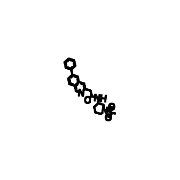 CS(=O)(=O)N1CCC[C@@H](NC(=O)Cc2cc3cc(-c4ccccc4)ccc3cn2)C1